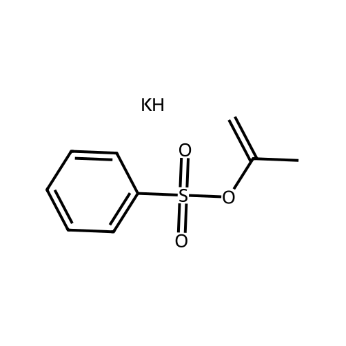 C=C(C)OS(=O)(=O)c1ccccc1.[KH]